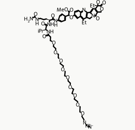 CCc1c2c(nc3ccc(OC(C(=O)OC)c4ccc(NC(=O)[C@H](CCCNC(N)=O)NC(=O)[C@@H](NC(=O)CCOCCOCCOCCOCCOCCOCCOCCOCCOCCN=[N+]=[N-])C(C)C)cc4)cc13)-c1cc3c(c(=O)n1C2)COC(=O)[C@]3(O)CC